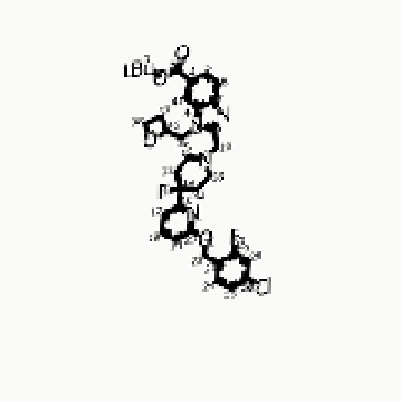 CC(C)(C)OC(=O)c1ccc2nc(CN3CCC(F)(c4cccc(OCc5ccc(Cl)cc5F)n4)CC3)n(CC3CCO3)c2c1